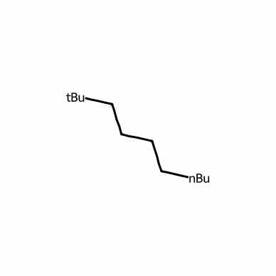 [CH2]CCCCCCCC([CH2])(C)C